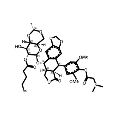 COc1cc([C@@H]2c3cc4c(cc3[C@@H](O[C@@H]3O[C@@H]5CO[C@@H](C)O[C@H]5[C@H](O)[C@H]3OC(=O)CCCC(C)=O)[C@H]3COC(=O)[C@H]23)OCO4)cc(OC)c1OC(=O)CN(C)C